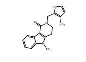 Cc1cc[nH]c1CN1CCc2c(c3ccccc3n2C)C1=O